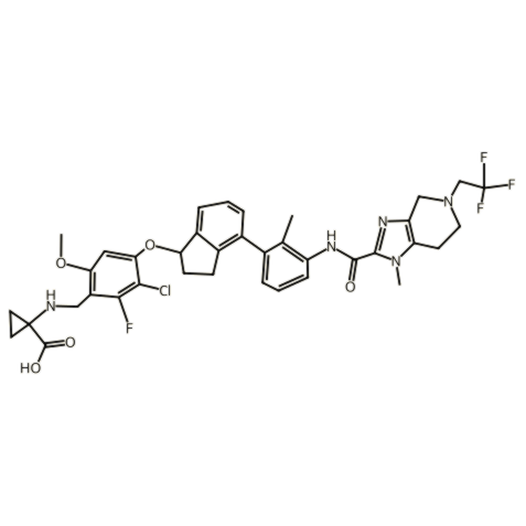 COc1cc(OC2CCc3c(-c4cccc(NC(=O)c5nc6c(n5C)CCN(CC(F)(F)F)C6)c4C)cccc32)c(Cl)c(F)c1CNC1(C(=O)O)CC1